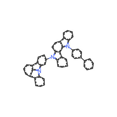 c1ccc(-c2ccc(-n3c4ccccc4c4ccc5c(c6ccccc6n5-c5ccc6c7cccc8c9ccccc9n(c6c5)c87)c43)cc2)cc1